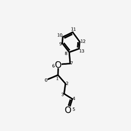 CC(CCC=O)OCc1ccccc1